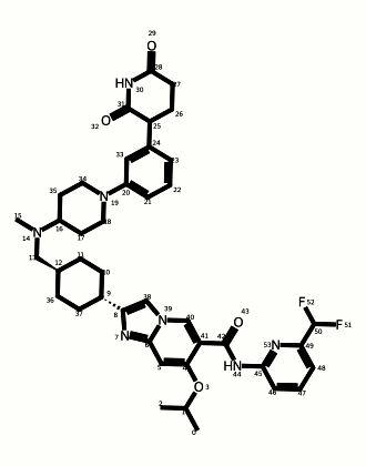 CC(C)Oc1cc2nc([C@H]3CC[C@H](CN(C)C4CCN(c5cccc(C6CCC(=O)NC6=O)c5)CC4)CC3)cn2cc1C(=O)Nc1cccc(C(F)F)n1